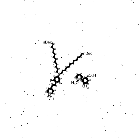 CCCCCCCCCCCCCCCCCCCCCCN(CCCCCCCCCCCCCCCCCCCCCC)c1ccc(C=Cc2cc[n+](C)cc2)c(F)c1.C[n+]1ccccc1.Cc1ccc(S(=O)(=O)O)cc1